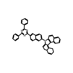 C1=CC2CC=c3c(c4c5ccccc5ccc4n3-c3ccc4cc(-c5nc(-c6ccccc6)nc(-c6ccccc6)n5)ccc4c3)=C2CC1